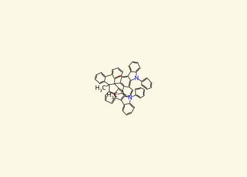 Cc1cccc2c1c(C13c4ccccc4-c4ccccc4C1(C)c1cccc4c1c3cc1c4c3ccccc3n1-c1ccccc1)cc1c3ccccc3n(-c3ccccc3)c21